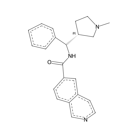 CN1CC[C@@H](C(NC(=O)c2ccc3cnccc3c2)c2ccccc2)C1